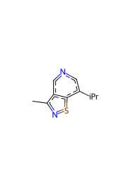 Cc1nsc2c(C(C)C)cncc12